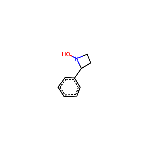 ON1CCC1c1ccccc1